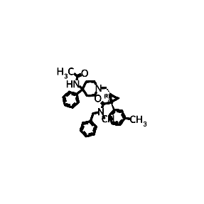 CC(=O)NC1(c2ccccc2)CCN(C[C@@H]2C[C@@]2(C(=O)N(C)Cc2ccccc2)c2cccc(C)c2)CC1